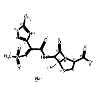 CS(=O)(=O)C=C(C(=O)NC1C(=O)N2C(C(=O)[O-])CS[C@@H]12)c1csc(N)n1.[Na+]